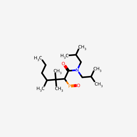 CCCC(C)C(C)(C)C(P=O)C(=O)N(CC(C)C)CC(C)C